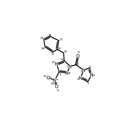 O=C(n1cncn1)n1nc([N+](=O)[O-])nc1Cc1ccccc1